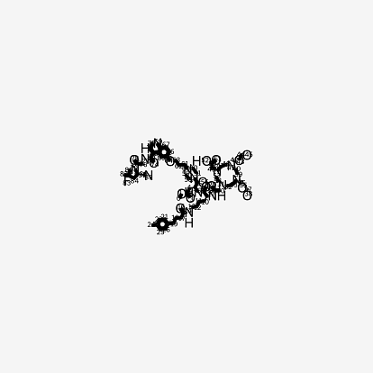 COC(=O)C[C@H](NC(=O)[C@H](CCCCNC(=O)CCCc1ccc(C)cc1)NC(=O)CN1CCN(COC=O)CCN(COC=O)CCN(CC(=O)O)CC1)C(=O)N1CCN(CCCOc2ccc3nccc(C(=O)NCC(=O)N4CC(C)(F)C[C@@H]4C#N)c3c2)CC1